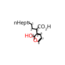 CCCCCCCCCC(C(=O)O)C1=CC=COC1O